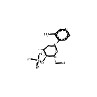 CC(C)[Si](O[C@H]1[C@H](C)C[C@H](c2ccncc2N)O[C@@H]1CCl)(C(C)C)C(C)C